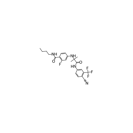 CCCCNC(=O)c1ccc(NC(C)(C)C(=O)Nc2ccc(C#N)c(C(F)(F)F)c2)cc1F